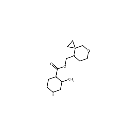 CC1CNCCN1C(=O)OCN1CCOCC12CC2